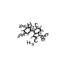 CC1=Cc2c(ccc(C)c2-c2cc(C(C)C)cc(C(C)C)c2)[CH]1[Zr]([Cl])[Cl]